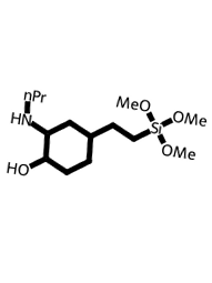 CCCNC1CC(CC[Si](OC)(OC)OC)CCC1O